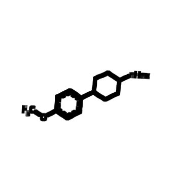 CCCCCCC1CCC(c2ccc(OC(F)(F)F)cc2)CC1